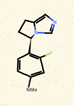 CNc1ccc([C@H]2CCc3cncn32)c(F)c1